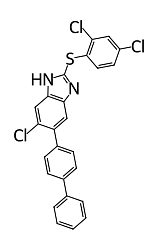 Clc1ccc(Sc2nc3cc(-c4ccc(-c5ccccc5)cc4)c(Cl)cc3[nH]2)c(Cl)c1